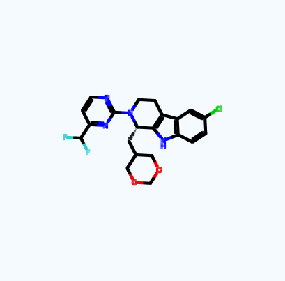 FC(F)c1ccnc(N2CCc3c([nH]c4ccc(Cl)cc34)[C@@H]2CC2COCOC2)n1